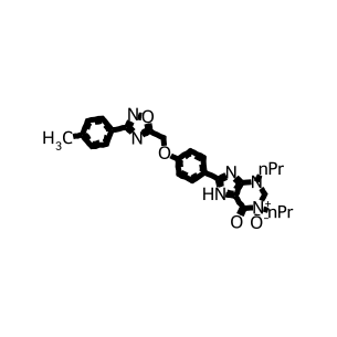 CCCN1C[N+]([O-])(CCC)C(=O)c2[nH]c(-c3ccc(OCc4nc(-c5ccc(C)cc5)no4)cc3)nc21